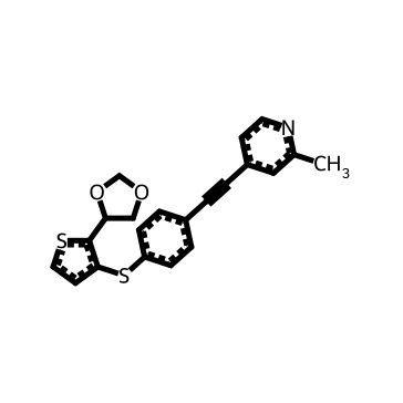 Cc1cc(C#Cc2ccc(Sc3ccsc3C3COCO3)cc2)ccn1